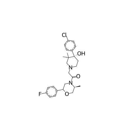 C[C@H]1COC(c2ccc(F)cc2)CN1C(=O)CN1CC[C@](O)(c2ccc(Cl)cc2)C(C)(C)C1